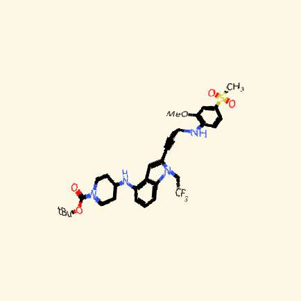 COc1cc(S(C)(=O)=O)ccc1NCC#Cc1cc2c(NC3CCN(C(=O)OC(C)(C)C)CC3)cccc2n1CC(F)(F)F